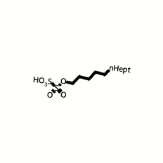 CCCCCCCCCCCCOS(=O)(=O)S(=O)(=O)O